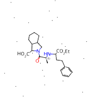 CCOC(=O)C(CCc1ccccc1)N[C@@H](C)C(=O)N1CC2CCCCC2C1C(=O)O